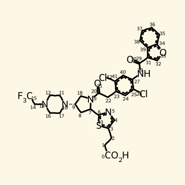 O=C(O)CCc1cnc(C2C[C@H](N3CCN(CC(F)(F)F)CC3)CN2C(=O)Cc2cc(Cl)c(NC(=O)c3coc4ccccc34)cc2Cl)s1